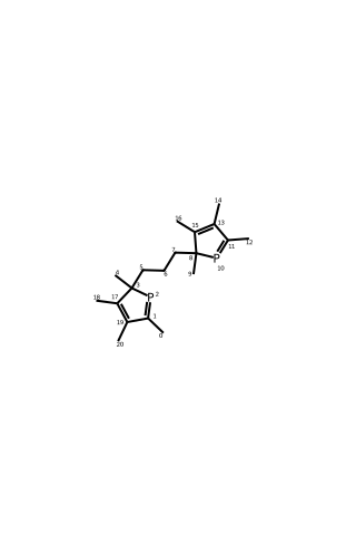 CC1=PC(C)(CCCC2(C)P=C(C)C(C)=C2C)C(C)=C1C